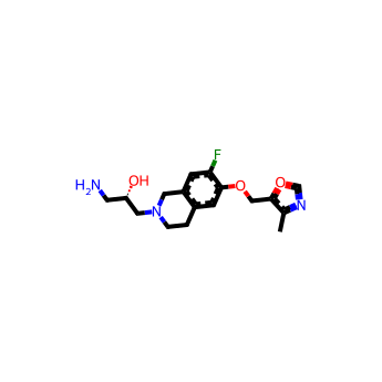 Cc1ncoc1COc1cc2c(cc1F)CN(C[C@@H](O)CN)CC2